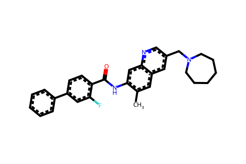 Cc1cc2cc(CN3CCCCCC3)cnc2cc1NC(=O)c1ccc(-c2ccccc2)cc1F